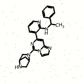 CC(Nc1ncccc1-c1cc2nccn2c(N2CC3CC2CN3)n1)c1ccccc1